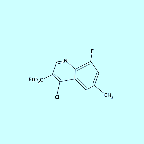 CCOC(=O)c1cnc2c(F)cc(C)cc2c1Cl